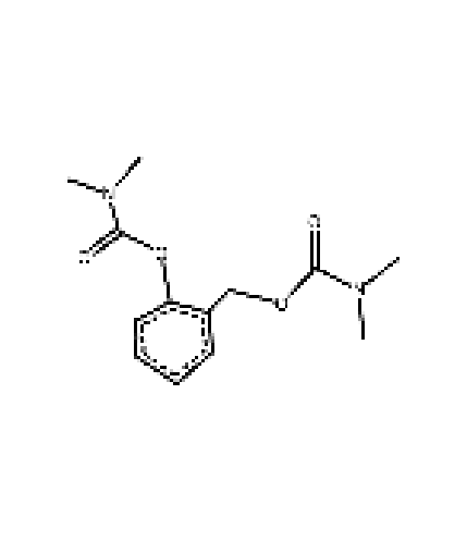 CN(C)C(=O)OCc1ccccc1OC(=O)N(C)C